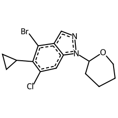 Clc1cc2c(cnn2C2CCCCO2)c(Br)c1C1CC1